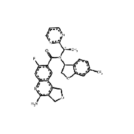 C[C@H](c1ncccn1)N(C(=O)c1cc2c3c(c(N)nc2cc1F)COC3)C1COc2cc(C(F)(F)F)ccc21